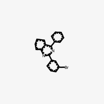 Brc1cccc(-c2nc(-c3ccccc3)c3ccccc3n2)c1